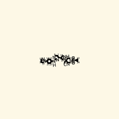 N#CCC1(N2C=C(c3ccnc(Nc4ccc(-n5cccn5)cc4)n3)CN2)CCN(S(=O)(=O)C2CC2)CC1